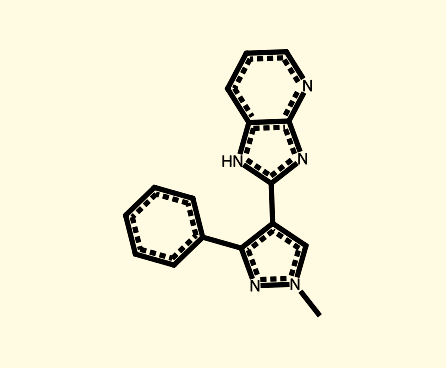 Cn1cc(-c2nc3ncccc3[nH]2)c(-c2ccccc2)n1